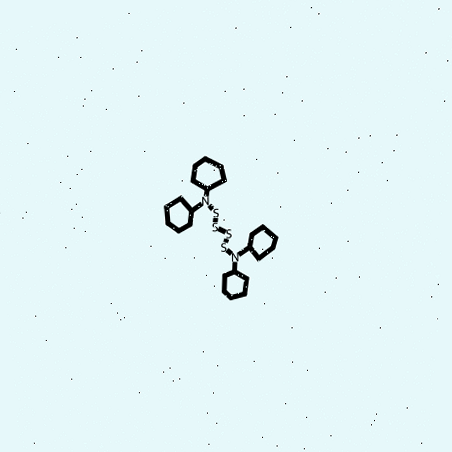 C1CCC(N(SSSSN(C2CCCCC2)C2CCCCC2)C2CCCCC2)CC1